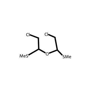 CSC(CCl)OC(CCl)SC